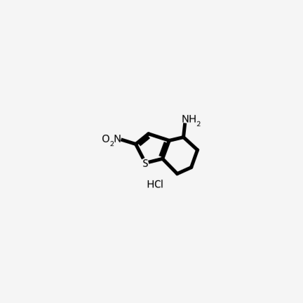 Cl.NC1CCCc2sc([N+](=O)[O-])cc21